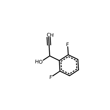 C#CC(O)c1c(F)cccc1F